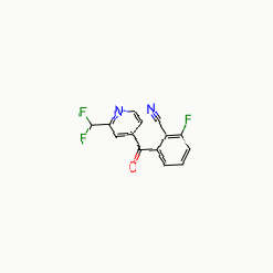 N#Cc1c(F)cccc1C(=O)c1ccnc(C(F)F)c1